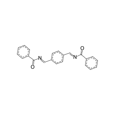 O=C(/N=C/c1ccc(/C=N/C(=O)c2ccccc2)cc1)c1ccccc1